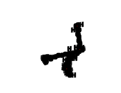 C=C1Cc2ccccc2CN(C(=O)CCC(=O)NCCOCCOCCOCCOCCC(=O)N[C@H](CCCCNC(=O)COC2CCCCC/C(NCCOCCOCCOCCOCCC(=O)NCCS(=O)(=O)O)=C\2N=N)C(=O)N[C@H](C(=O)N[C@@H](C)C(=O)Nc2ccc3c(c2)[C@@]2(C)CCC[C@]4(C(=O)N4C(=O)[C@@]4(C)CCC[C@]5(C)c6cc(O)ccc6CC[C@@H]45)C2CC3)C(C)C)c2ccccc21